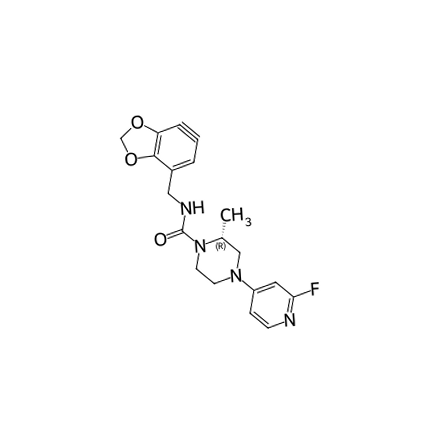 C[C@@H]1CN(c2ccnc(F)c2)CCN1C(=O)NCc1cc#cc2c1OCO2